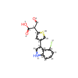 O=CC(C(=O)O)c1cc(-c2c[nH]c3cccc(F)c23)cs1